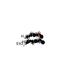 CCOC(=O)CC1(O)CCN(CC2CN(c3ccc(C(=N)NC(=O)OCc4ccccc4)cc3)C(=O)O2)CC1.CS(=O)(=O)OCC1CN(c2ccc(C(=N)NC(=O)OCc3ccccc3)cc2)C(=O)O1